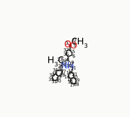 COC(=O)c1ccc(C(C/C=C/c2ccc3ccccc3c2)C(C)NCc2ccc3ccccc3c2)cc1